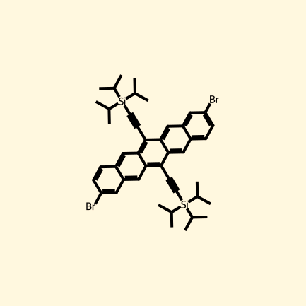 CC(C)[Si](C#Cc1c2cc3ccc(Br)cc3cc2c(C#C[Si](C(C)C)(C(C)C)C(C)C)c2cc3ccc(Br)cc3cc12)(C(C)C)C(C)C